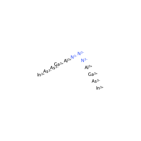 [Al+3].[Al+3].[As-3].[As-3].[As-3].[Ga+3].[Ga+3].[In+3].[In+3].[N-3].[N-3].[N-3]